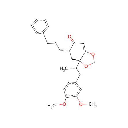 COc1ccc(C[C@H](C)[C@]23C[C@H](CC=Cc4ccccc4)C(=O)C=C2OCO3)cc1OC